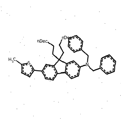 CCCCCCCCCCCCC1(CCCCCCCCCCCC)c2cc(-c3ccc(C)s3)ccc2-c2ccc(N(Cc3ccccc3)Cc3ccccc3)cc21